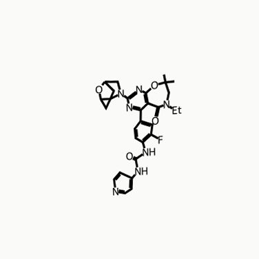 CCN1CC(C)(C)Oc2nc(N3CC4CC35CC5O4)nc(-c3ccc(NC(=O)Nc4ccncc4)c(F)c3)c2C1=O